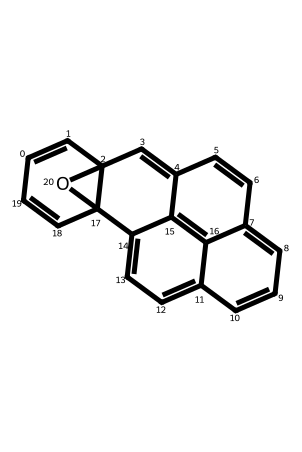 C1=CC23C=c4ccc5cccc6ccc(c4c65)C2(C=C1)O3